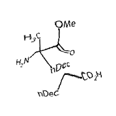 CCCCCCCCCCC(C)(N)C(=O)OC.CCCCCCCCCCCC(=O)O